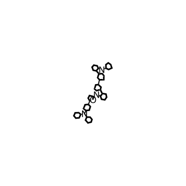 c1ccc(N(c2ccccc2)c2ccc(-c3ccc(-n4c5ccccc5c5cc(-c6ccc7c(c6)c6ccccc6n7-c6ccccc6)ccc54)o3)cc2)cc1